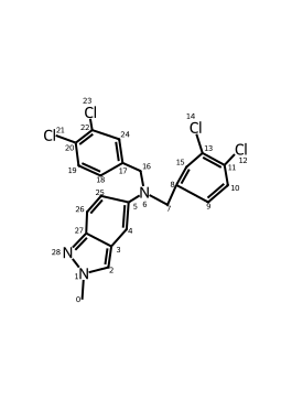 Cn1cc2cc(N(Cc3ccc(Cl)c(Cl)c3)Cc3ccc(Cl)c(Cl)c3)ccc2n1